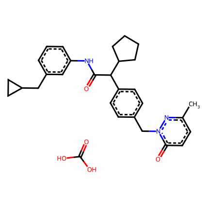 Cc1ccc(=O)n(Cc2ccc(C(C(=O)Nc3cccc(CC4CC4)c3)C3CCCC3)cc2)n1.O=C(O)O